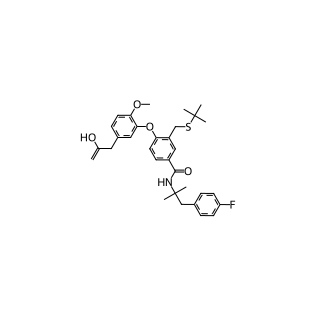 C=C(O)Cc1ccc(OC)c(Oc2ccc(C(=O)NC(C)(C)Cc3ccc(F)cc3)cc2CSC(C)(C)C)c1